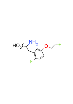 NC(Cc1cc(OCCF)ccc1F)C(=O)O